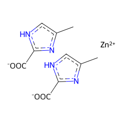 Cc1c[nH]c(C(=O)[O-])n1.Cc1c[nH]c(C(=O)[O-])n1.[Zn+2]